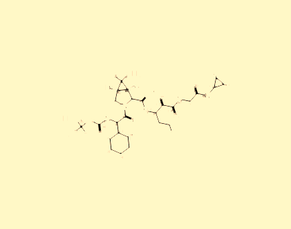 CCCC(NC(=O)C1[C@@H]2[C@H](CN1C(=O)C(NC(=O)OC(C)(C)C)C1CCCCC1)C2(C)C)C(=O)C(=O)NCC(=O)NC1CC1